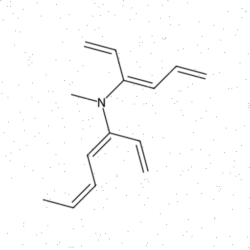 C=C/C=C(\C=C)N(C)/C(C=C)=C/C=C\C